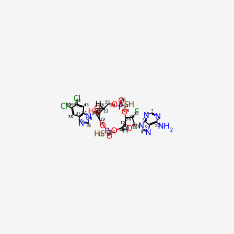 Nc1ncnc2c1ncn2[C@@H]1O[C@@H]2COP(=O)(S)OC3C(O)[C@@H](COP(=O)(S)OC2C1F)O[C@H]3n1cnc2cc(Cl)c(Cl)cc21